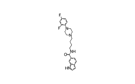 O=C(NCCCCN1CCN(c2ccc(F)cc2F)CC1)c1ccc2cc[nH]c2c1